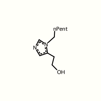 CCCCCCn1cncc1CCO